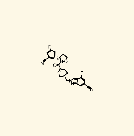 N#Cc1cc(F)cc([C@@H]2CCON2C(=O)[C@H]2CC[C@H](Cn3cc4c(F)cc(C#N)cc4n3)CC2)c1